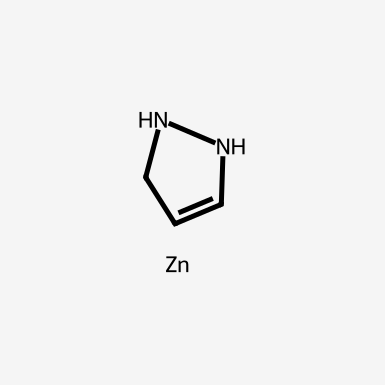 C1=CNNC1.[Zn]